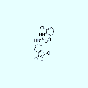 O=C(Nc1ccc2c(c1)C(=O)NC2=O)Nc1c(Cl)cccc1Cl